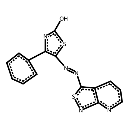 Oc1nc(-c2ccccc2)c(/N=N/c2snc3ncccc23)s1